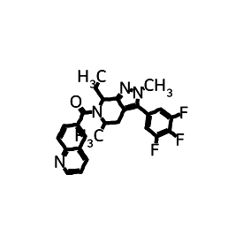 CCC1c2nn(C)c(-c3cc(F)c(F)c(F)c3)c2CC(C)N1C(=O)c1ccc2ncccc2c1